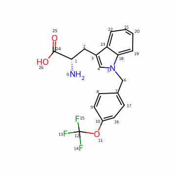 N[C@@H](Cc1cn(Cc2ccc(OC(F)(F)F)cc2)c2ccccc12)C(=O)O